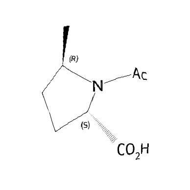 CC(=O)N1[C@H](C)CC[C@H]1C(=O)O